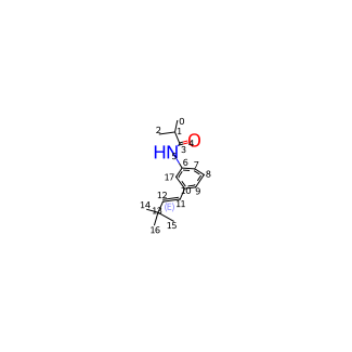 CC(C)C(=O)Nc1cccc(/C=C/C(C)(C)C)c1